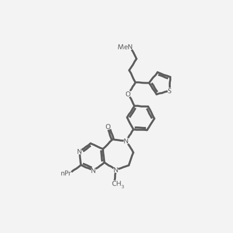 CCCc1ncc2c(n1)N(C)CCN(c1cccc(OC(CCNC)c3ccsc3)c1)C2=O